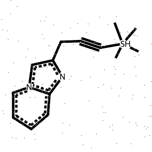 C[SH](C)(C)(C)C#CCc1cn2ccccc2n1